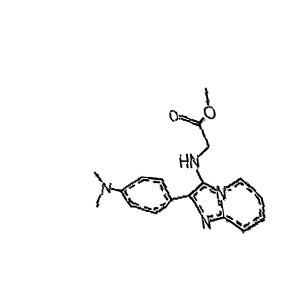 COC(=O)CNc1c(-c2ccc(N(C)C)cc2)nc2ccccn12